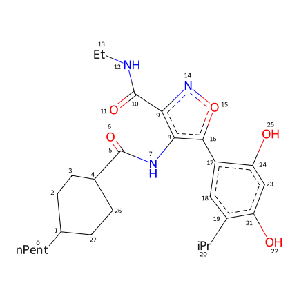 CCCCCC1CCC(C(=O)Nc2c(C(=O)NCC)noc2-c2cc(C(C)C)c(O)cc2O)CC1